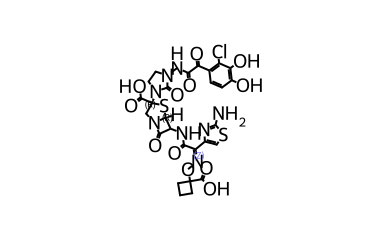 Nc1nc(/C(=N/OC2(C(=O)O)CCC2)C(=O)NC2C(=O)N3C[C@@](C(=O)O)(N4CCN(NC(=O)C(=O)c5ccc(O)c(O)c5Cl)C4=O)S[C@H]23)cs1